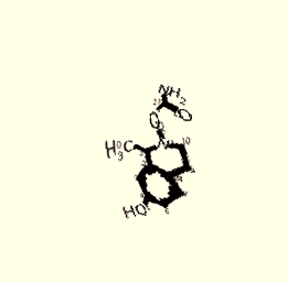 CC1c2cc(O)ccc2CCN1OC(N)=O